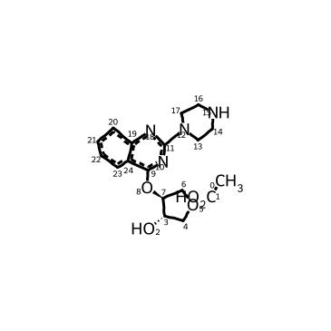 CC(=O)O.O[C@H]1COC[C@@H]1Oc1nc(N2CCNCC2)nc2ccccc12